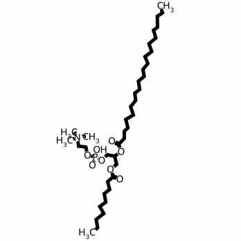 CCCCCCCCCCCCCCCCCCCCCCC(=O)OC(COC(=O)CCCCCCCCC)COP(=O)(O)OCC[N+](C)(C)C